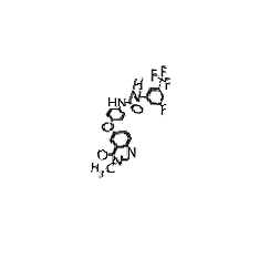 Cn1cnc2ccc(Oc3ccc(NC(=O)Nc4cc(F)cc(C(F)(F)F)c4)cc3)cc2c1=O